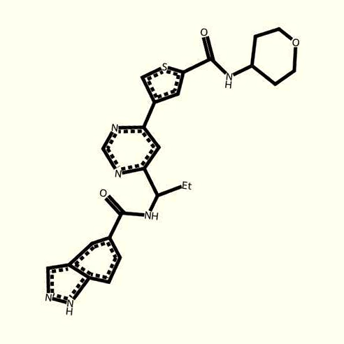 CCC(NC(=O)c1ccc2[nH]ncc2c1)c1cc(-c2csc(C(=O)NC3CCOCC3)c2)ncn1